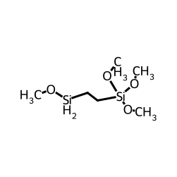 CO[SiH2]CC[Si](OC)(OC)OC